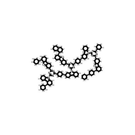 c1ccc(-c2ccc(-c3cccc4c3oc3cc(-c5nc(-c6ccccc6)nc(-n6c7ccccc7c7cc(-c8ccc(-c9nc(-c%10ccc%11c(c%10)oc%10c(-c%12cccc%13ccccc%12%13)cccc%10%11)nc(-n%10c%11ccccc%11c%11ccc(-c%12ccc(-c%13nc(-c%14ccc%15c(c%14)oc%14c(-c%16ccccc%16)cccc%14%15)nc(-n%14c%15ccccc%15c%15c(-c%16ccccc%16)cccc%15%14)n%13)cc%12)cc%11%10)n9)cc8)ccc76)n5)ccc34)cc2)cc1